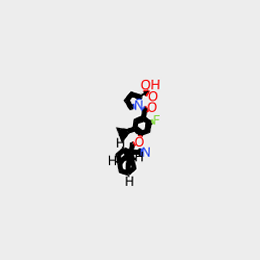 N#CC1(COc2cc(F)c(C(=O)N3CCC[C@H]3C(=O)O)cc2C2CC2)[C@H]2C[C@H]3C[C@H](C2)C[C@H]1C3